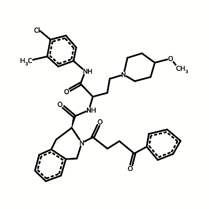 COC1CCN(CCC(NC(=O)[C@@H]2Cc3ccccc3CN2C(=O)CCC(=O)c2ccccc2)C(=O)Nc2ccc(Cl)c(C)c2)CC1